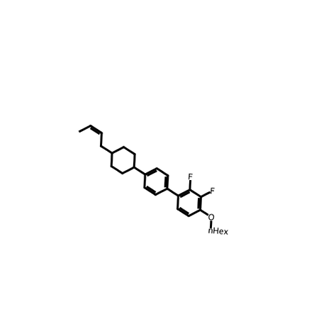 C/C=C\CC1CCC(c2ccc(-c3ccc(OCCCCCC)c(F)c3F)cc2)CC1